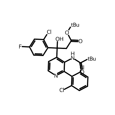 CC(C)(C)OC(=O)CC(O)(c1ccc(F)cc1Cl)c1ccnc(-c2c(Cl)cccc2Cl)c1NC(=O)C(C)(C)C